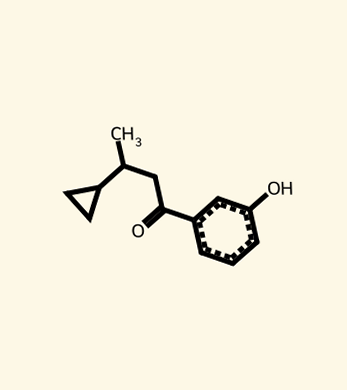 CC(CC(=O)c1cccc(O)c1)C1CC1